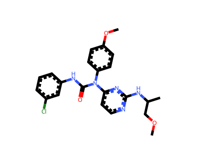 COCC(C)Nc1nccc(N(C(=O)Nc2cccc(Cl)c2)c2ccc(OC)cc2)n1